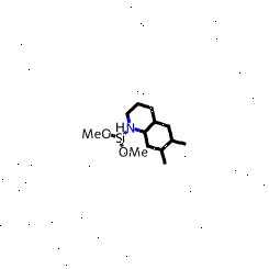 CO[SiH](OC)N1CCCC2CC(C)C(C)CC21